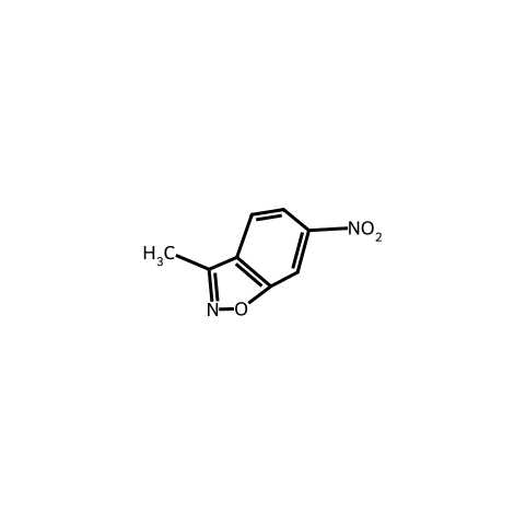 Cc1noc2cc([N+](=O)[O-])ccc12